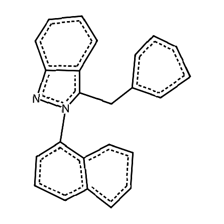 c1ccc(Cc2c3ccccc3nn2-c2cccc3ccccc23)cc1